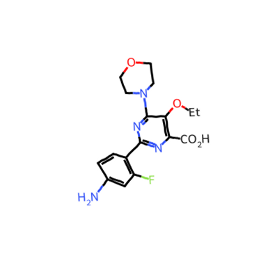 CCOc1c(C(=O)O)nc(-c2ccc(N)cc2F)nc1N1CCOCC1